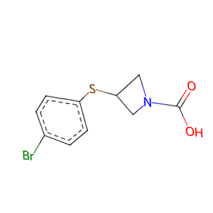 O=C(O)N1CC(Sc2ccc(Br)cc2)C1